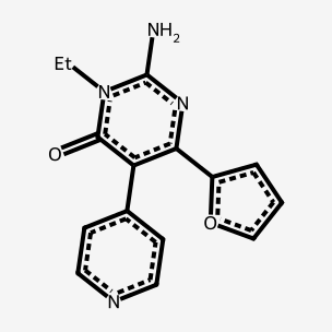 CCn1c(N)nc(-c2ccco2)c(-c2ccncc2)c1=O